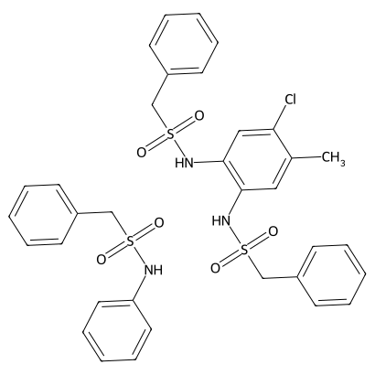 Cc1cc(NS(=O)(=O)Cc2ccccc2)c(NS(=O)(=O)Cc2ccccc2)cc1Cl.O=S(=O)(Cc1ccccc1)Nc1ccccc1